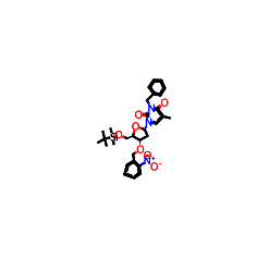 Cc1cn([C@H]2C[C@H](OCc3ccccc3[N+](=O)[O-])[C@@H](CO[Si](C)(C)C(C)(C)C)O2)c(=O)n(Cc2ccccc2)c1=O